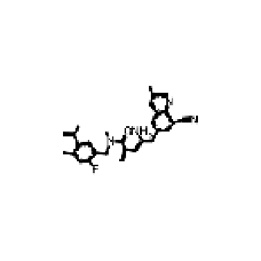 C=C(/C=C(\N)Cc1cc(C#N)c2ncc(C)cc2c1)C(=O)N(C)Cc1cc(C(=C)C)c(C)cc1F